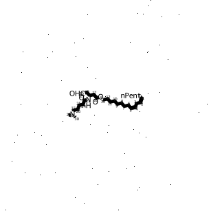 CCCCC/C=C\C/C=C\CCCCCCCCOC(=O)CC(CC=O)NC(=O)CCCCN(C)C